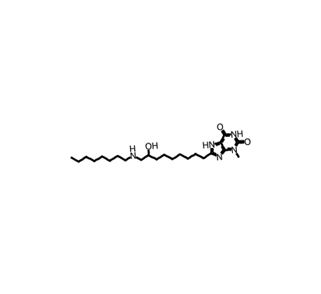 CCCCCCCCNCC(O)CCCCCCCc1nc2c([nH]1)c(=O)[nH]c(=O)n2C